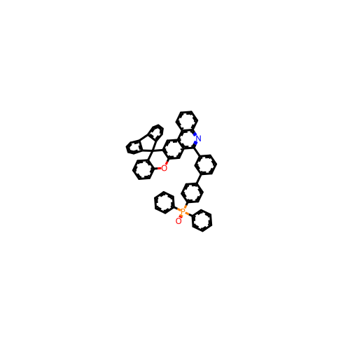 O=P(c1ccccc1)(c1ccccc1)c1ccc(-c2cccc(-c3nc4ccccc4c4cc5c(cc34)Oc3ccccc3C53c4ccccc4-c4ccccc43)c2)cc1